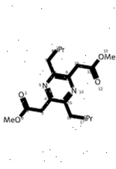 COC(=O)Cc1nc(CC(C)C)c(CC(=O)OC)nc1CC(C)C